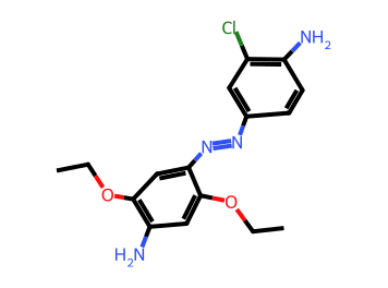 CCOc1cc(/N=N/c2ccc(N)c(Cl)c2)c(OCC)cc1N